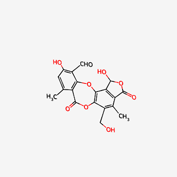 Cc1cc(O)c(C=O)c2c1C(=O)Oc1c(CO)c(C)c3c(c1O2)C(O)OC3=O